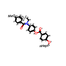 CCCCCCCOc1ccc(C(=O)Oc2ccc(N(CC(=O)O)C(=O)c3ccc(OC)cc3)cc2)cc1